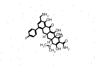 CN(C)[C@H]1C(O)=C(C(N)=O)C(=O)[C@@]2(O)C(O)=C3C(=O)c4c(O)c(CN)cc(-c5ccc(F)cc5)c4C[C@@H]3C[C@@H]12